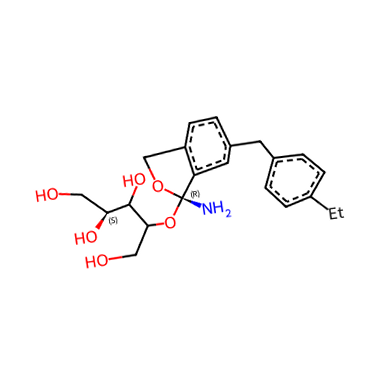 CCc1ccc(Cc2ccc3c(c2)[C@](N)(OC(CO)C(O)[C@@H](O)CO)OC3)cc1